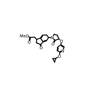 COC(=O)CC1CC(=O)C2=CC(N3CC[C@@H](Oc4ccc(OC5CC5)nc4)C3=O)CC=C21